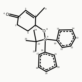 CC1=CC(=O)CCC1O[Si](c1ccccc1)(c1ccccc1)C(C)(C)C